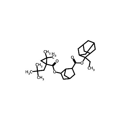 CCC1(OC(=O)C2CC3CC(OC(=O)C4(CC(C)(C)C)CC4(C)C)C2C3)C2CC3CC(C2)CC1C3